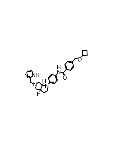 O=C(Nc1ccc(N2CC[C@@H]3CN(Cc4ncc[nH]4)C[C@@H]32)cc1)c1ccc(COC2CCC2)cc1